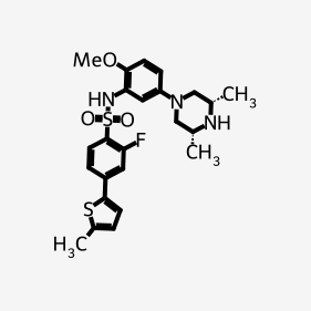 COc1ccc(N2C[C@@H](C)N[C@@H](C)C2)cc1NS(=O)(=O)c1ccc(-c2ccc(C)s2)cc1F